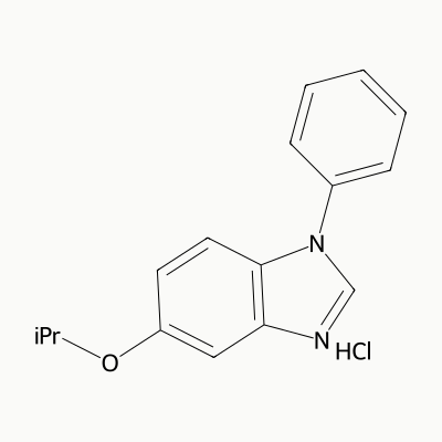 CC(C)Oc1ccc2c(c1)ncn2-c1ccccc1.Cl